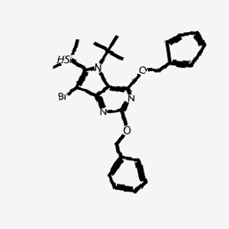 C[SiH](C)c1c(Br)c2nc(OCc3ccccc3)nc(OCc3ccccc3)c2n1C(C)(C)C